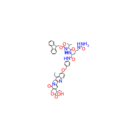 CCc1c2c(nc3ccc(OCc4ccc(NC(=O)[C@H](CCCNC(N)=O)NC(=O)[C@@H](NC(=O)OCC5c6ccccc6-c6ccccc65)C(C)C)cc4)cc13)-c1cc3c(c(=O)n1C2)COC(=O)[C@]3(O)CC